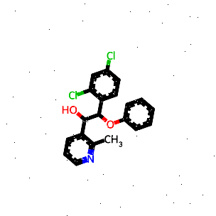 Cc1ncccc1C(O)C(Oc1ccccc1)c1ccc(Cl)cc1Cl